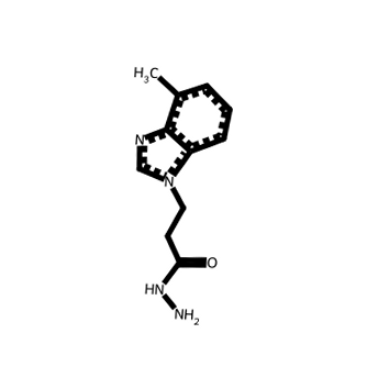 Cc1cccc2c1ncn2CCC(=O)NN